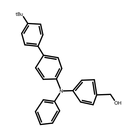 CC(C)(C)c1ccc(-c2ccc(N(c3ccccc3)c3ccc(CO)cc3)cc2)cc1